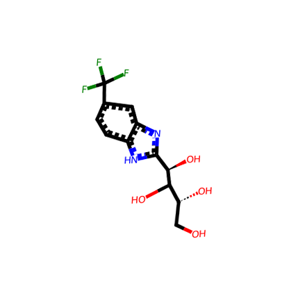 OC[C@@H](O)C(O)[C@H](O)c1nc2cc(C(F)(F)F)ccc2[nH]1